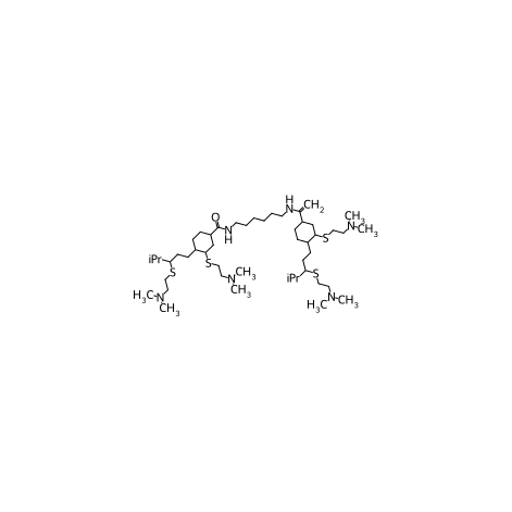 C=C(NCCCCCCNC(=O)C1CCC(CCC(SCCN(C)C)C(C)C)C(SCCN(C)C)C1)C1CCC(CCC(SCCN(C)C)C(C)C)C(SCCN(C)C)C1